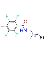 CC/C=C(\C)CNC(=O)c1c(F)c(F)c(C)c(F)c1F